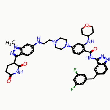 Cn1nc(C2CCC(=O)NC2=O)c2ccc(NCCN3CCN(c4ccc(C(=O)Nc5n[nH]c6ccc(Cc7cc(F)cc(F)c7)cc56)c(NC5CCOCC5)c4)CC3)cc21